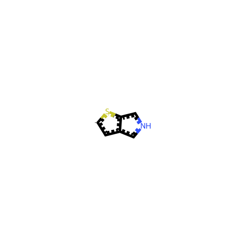 [c]1cc2c[nH]cc2s1